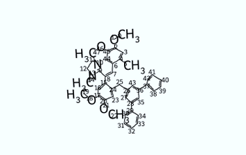 COc1cc(C)c(/C=C(\C2=NCCN2C)c2cc(OC)c(OC)cc2Cc2cc(-c3ccccc3)cc(-c3ccccc3)c2)cc1OC